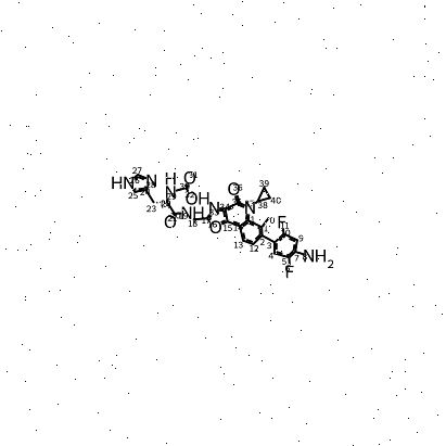 Cc1c(-c2cc(F)c(N)cc2F)ccc2c3oc(CNC(=O)[C@H](Cc4c[nH]cn4)NC(=O)O)nc3c(=O)n(C3CC3)c12